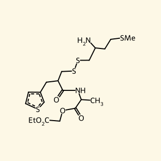 CCOC(=O)COC(=O)C(C)NC(=O)C(CSSCC(N)CCSC)Cc1ccsc1